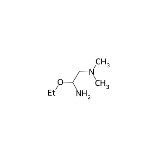 CCOC(N)CN(C)C